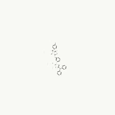 COC(=O)N(C(=O)[C@@H](N)C(c1ccccc1)c1ccccc1)c1cccc(C[C@@H](CO)N(C(C)C)S(=O)(=O)c2ccc(CO)cc2)c1